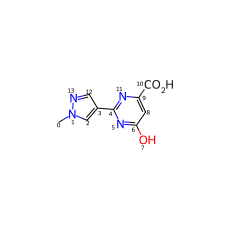 Cn1cc(-c2nc(O)cc(C(=O)O)n2)cn1